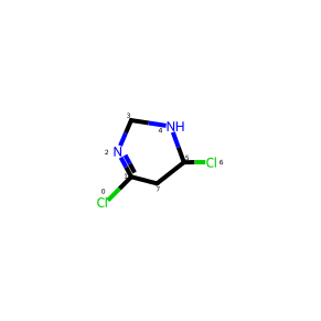 ClC1=NCNC(Cl)C1